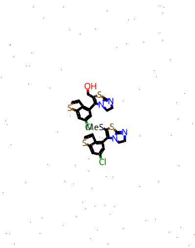 CSC1=C(c2cc(Cl)cc3sccc23)N2CCN=C2S1.OCC1=C(c2cc(Cl)cc3sccc23)N2CCN=C2S1